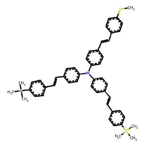 CSc1ccc(/C=C/c2ccc(N(c3ccc(/C=C/c4ccc([Si](C)(C)C)cc4)cc3)c3ccc(/C=C/c4ccc(S(C)(C)C)cc4)cc3)cc2)cc1